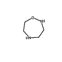 C1CNOCCN1